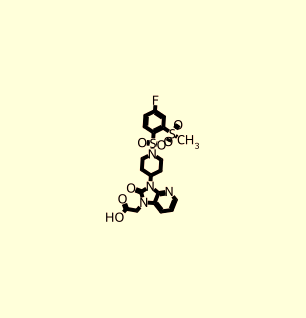 CS(=O)(=O)c1cc(F)ccc1S(=O)(=O)N1CCC(n2c(=O)n(CC(=O)O)c3cccnc32)CC1